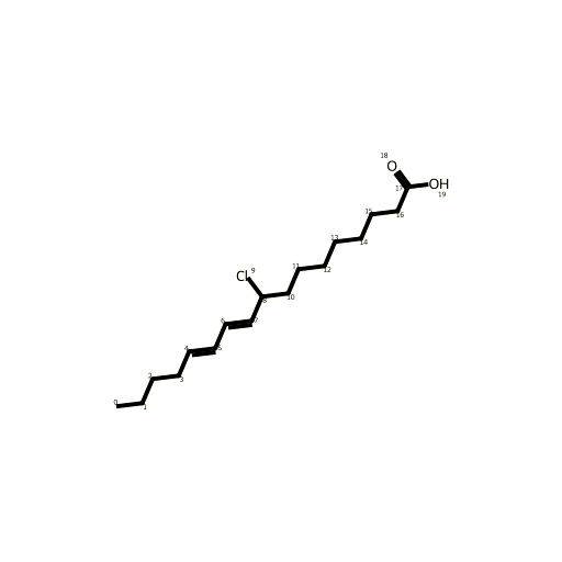 CCCCC=C/C=C/C(Cl)CCCCCCCC(=O)O